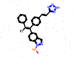 CC/C(=C(/c1ccc(/C=C/c2nn[nH]n2)cc1)c1ccc2c(cnn2PI)c1)c1ccccc1